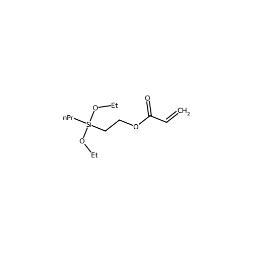 C=CC(=O)OCC[Si](CCC)(OCC)OCC